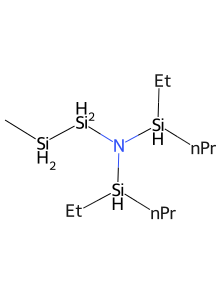 CCC[SiH](CC)N([SiH2][SiH2]C)[SiH](CC)CCC